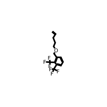 C=CCCCOCc1cccc(C(F)(F)F)c1C(F)(F)F